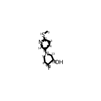 CSc1ccc(N2CC[C@H](F)[C@@H](O)C2)cn1